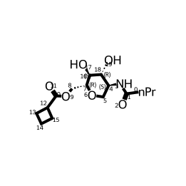 CCCC(=O)N[C@H]1CO[C@H](COC(=O)C2CCC2)[C@@H](O)[C@@H]1O